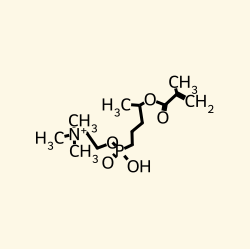 C=C(C)C(=O)OC(C)CCCP(=O)(O)OCC[N+](C)(C)C